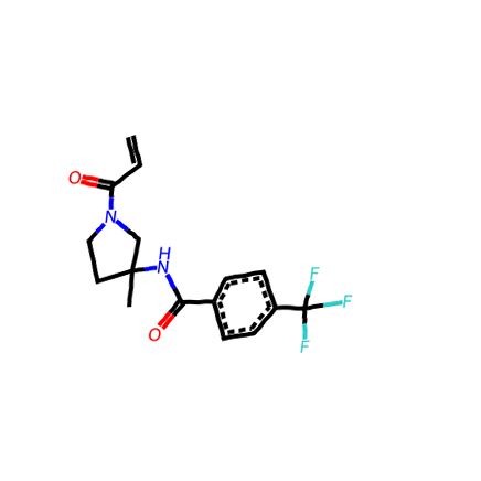 C=CC(=O)N1CCC(C)(NC(=O)c2ccc(C(F)(F)F)cc2)C1